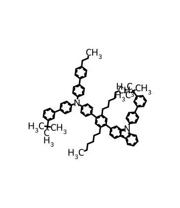 CCCCCCc1cc(-c2ccc3c4ccccc4n(-c4ccc(-c5cccc(C(C)(C)C)c5)cc4)c3c2)c(CCCCCC)cc1-c1ccc(N(c2ccc(-c3ccc(CCC)cc3)cc2)c2ccc(-c3cccc(C(C)(C)C)c3)cc2)cc1